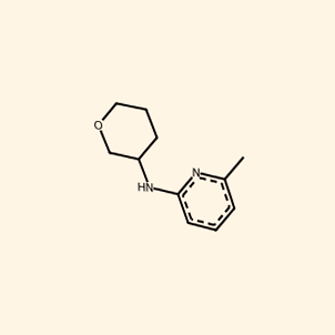 Cc1cccc(NC2CCCOC2)n1